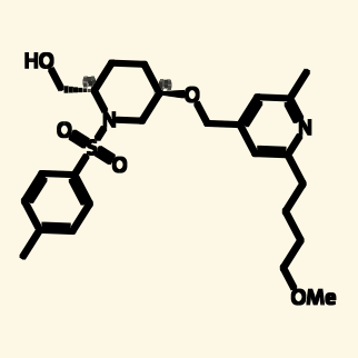 COCCCCc1cc(CO[C@@H]2CC[C@@H](CO)N(S(=O)(=O)c3ccc(C)cc3)C2)cc(C)n1